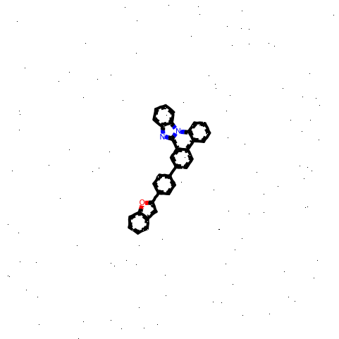 c1ccc2oc(-c3ccc(-c4ccc5c6ccccc6n6c7ccccc7nc6c5c4)cc3)cc2c1